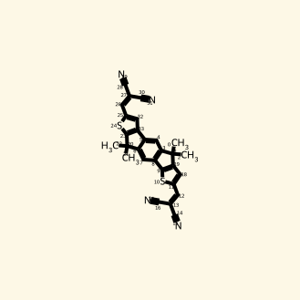 CC1(C)c2cc3c(cc2-c2sc(C=C(C#N)C#N)cc21)C(C)(C)c1sc(C=C(C#N)C#N)cc1-3